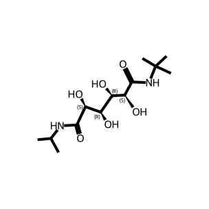 CC(C)NC(=O)[C@@H](O)[C@H](O)[C@@H](O)[C@H](O)C(=O)NC(C)(C)C